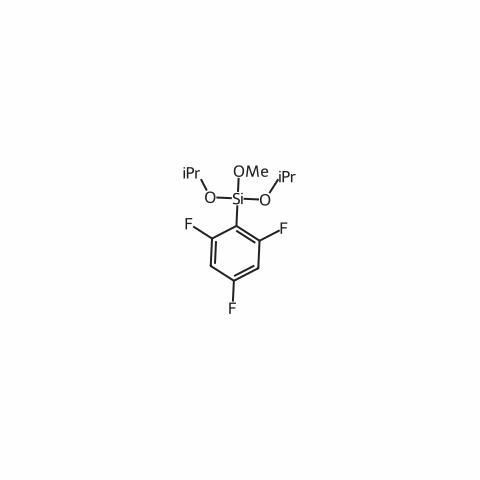 CO[Si](OC(C)C)(OC(C)C)c1c(F)cc(F)cc1F